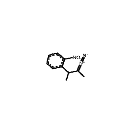 CC(=[N+]=[N-])C(C)c1ccccc1[N+](=O)[O-]